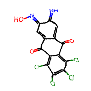 N=c1cc2c(=O)c3c(Cl)c(Cl)c(Cl)c(Cl)c3c(=O)c-2cc1=NO